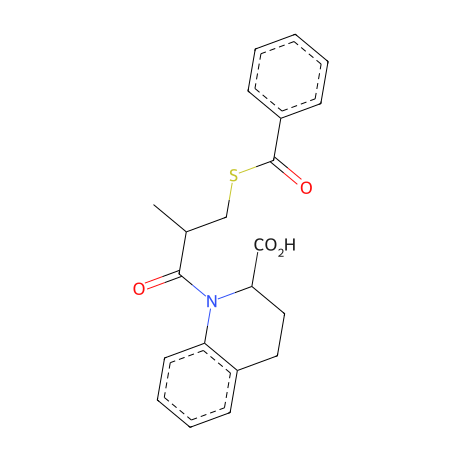 CC(CSC(=O)c1ccccc1)C(=O)N1c2ccccc2CCC1C(=O)O